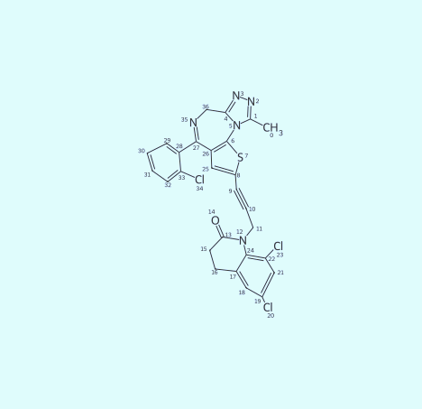 Cc1nnc2n1-c1sc(C#CCN3C(=O)CCc4cc(Cl)cc(Cl)c43)cc1C(c1ccccc1Cl)=NC2